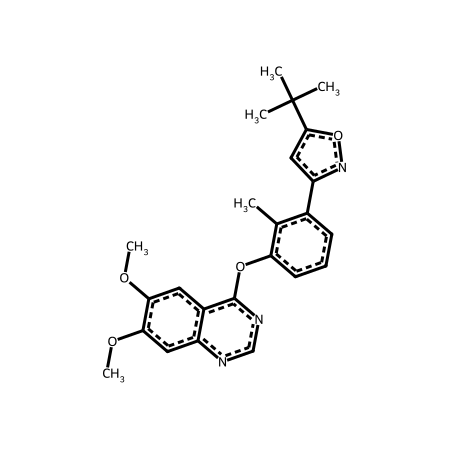 COc1cc2ncnc(Oc3cccc(-c4cc(C(C)(C)C)on4)c3C)c2cc1OC